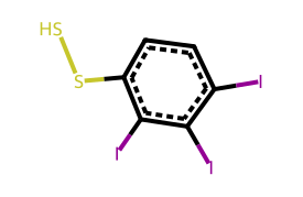 SSc1ccc(I)c(I)c1I